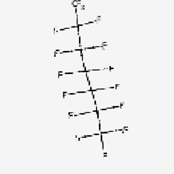 FC(F)(F)C(F)(F)C(F)(F)C(F)(F)C(F)(F)C(F)(F)C(F)(F)[S]